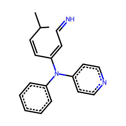 CC(C)/C=C\C(=C/C=N)N(c1ccccc1)c1ccncc1